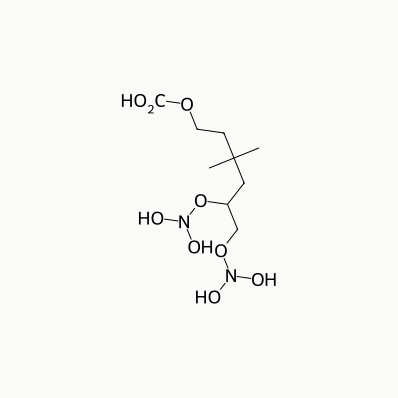 CC(C)(CCOC(=O)O)CC(CON(O)O)ON(O)O